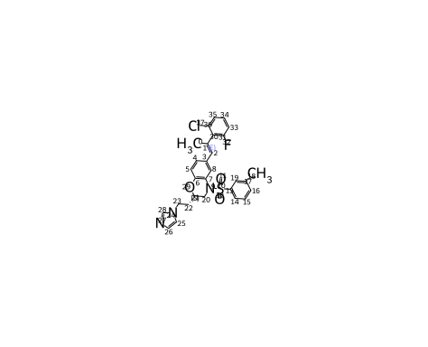 C/C(=C\c1ccc2c(c1)N(S(=O)(=O)c1cccc(C)c1)C[C@H](CCn1ccnc1)O2)c1c(F)cccc1Cl